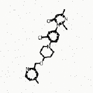 Cc1ccnc(COC2CCN(c3ccc(-n4c(C)nc(C)cc4=O)cc3Cl)CC2)c1